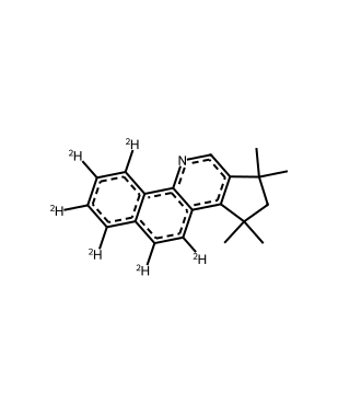 [2H]c1c([2H])c([2H])c2c(c1[2H])c([2H])c([2H])c1c3c(cnc12)C(C)(C)CC3(C)C